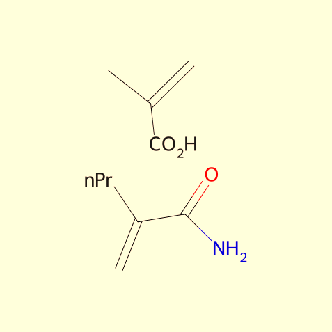 C=C(C)C(=O)O.C=C(CCC)C(N)=O